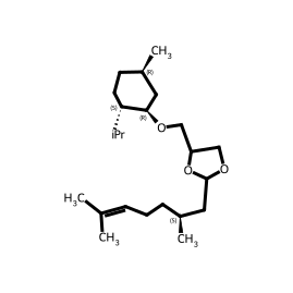 CC(C)=CCC[C@H](C)CC1OCC(CO[C@@H]2C[C@H](C)CC[C@H]2C(C)C)O1